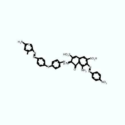 Cc1cc(N)ccc1N=Nc1ccc(Sc2ccc(NN=C3C(=O)c4c(cc(S(=O)(=O)O)c(N=Nc5ccc([N+](=O)[O-])cc5)c4N)C=C3S(=O)(=O)O)cc2)cc1